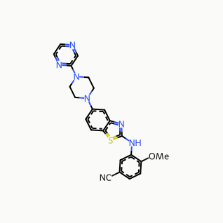 COc1ccc(C#N)cc1Nc1nc2cc(N3CCN(c4cnccn4)CC3)ccc2s1